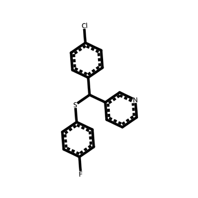 Fc1ccc(SC(c2ccc(Cl)cc2)c2cccnc2)cc1